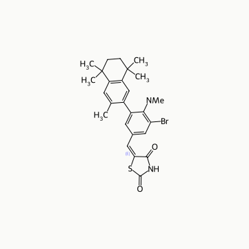 CNc1c(Br)cc(/C=C2/SC(=O)NC2=O)cc1-c1cc2c(cc1C)C(C)(C)CCC2(C)C